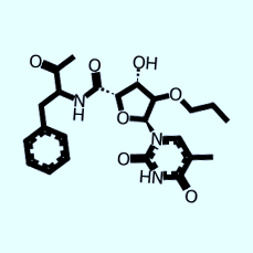 CCCOC1[C@@H](O)[C@@H](C(=O)NC(Cc2ccccc2)C(C)=O)O[C@@H]1n1cc(C)c(=O)[nH]c1=O